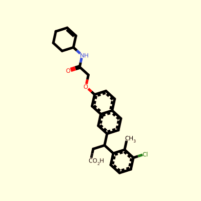 Cc1c(Cl)cccc1C(CC(=O)O)c1ccc2ccc(OCC(=O)NC3C=CCCC3)cc2c1